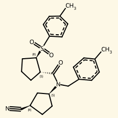 Cc1ccc(CN(C(=O)[C@@H]2CCC[C@H]2S(=O)(=O)c2ccc(C)cc2)[C@H]2CC[C@@H](C#N)C2)cc1